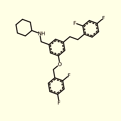 Fc1ccc(CCc2cc(CNC3CCCCC3)cc(OCc3ccc(F)cc3F)c2)c(F)c1